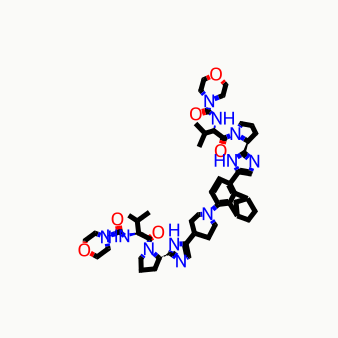 CC(C)[C@H](NC(=O)N1CCOCC1)C(=O)N1CCC[C@H]1c1ncc(-c2ccc(N3CCC(c4cnc([C@@H]5CCCN5C(=O)[C@@H](NC(=O)N5CCOCC5)C(C)C)[nH]4)CC3)c3c2C2CCC3C2)[nH]1